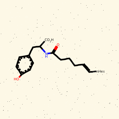 CCCCCCC=CCCCC(=O)NC(Cc1ccc(O)cc1)C(=O)O